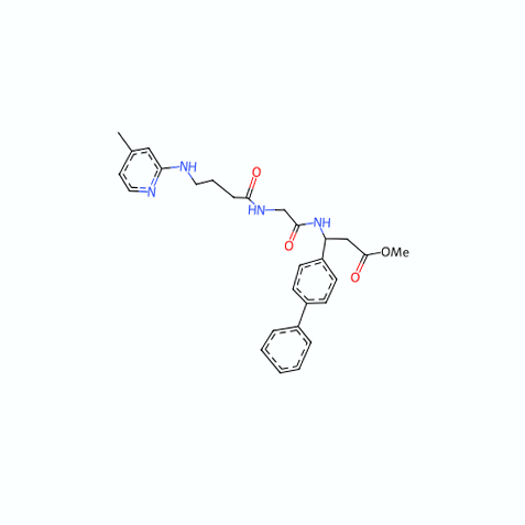 COC(=O)CC(NC(=O)CNC(=O)CCCNc1cc(C)ccn1)c1ccc(-c2ccccc2)cc1